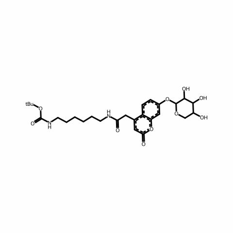 CC(C)(C)OC(=O)NCCCCCCNC(=O)Cc1cc(=O)oc2cc(OC3OCC(O)C(O)C3O)ccc12